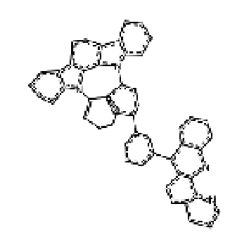 C1=CC(n2c3ccccc3c3ccc4c5ccccc5n(-c5ccc(-c6cccc(-c7c8ccccc8nc8c7ccc7cccnc78)c6)cc5)c4c32)=CCC1